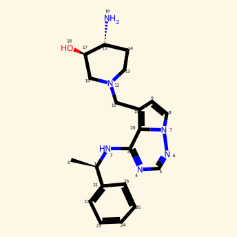 C[C@@H](Nc1ncnn2ccc(CN3CC[C@@H](N)[C@H](O)C3)c12)c1ccccc1